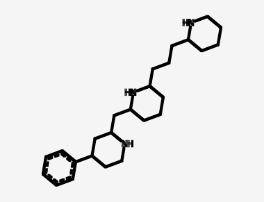 c1ccc(C2CCNC(CC3CCCC(CCCC4CCCCN4)N3)C2)cc1